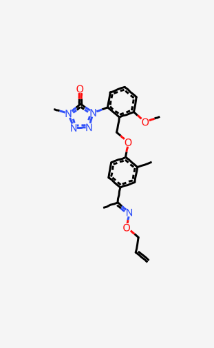 C=CCON=C(C)c1ccc(OCc2c(OC)cccc2-n2nnn(C)c2=O)c(C)c1